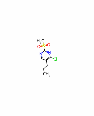 CCCc1cnc(S(C)(=O)=O)nc1Cl